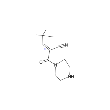 CC(C)(C)/C=C(\C#N)C(=O)N1CCNCC1